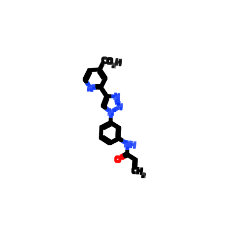 C=CC(=O)Nc1cccc(-n2cc(-c3cc(C(=O)O)ccn3)nn2)c1